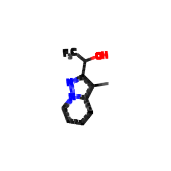 Cc1c(C(O)C(F)(F)F)nn2ccccc12